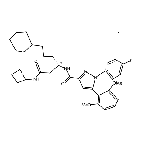 COc1cccc(OC)c1-c1cc(C(=O)N[C@@H](CCCC2CCCCC2)CC(=O)NC2CCC2)nn1-c1ccc(F)cc1